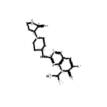 CC(C)n1c(=O)c(Cl)cc2cnc(NC3CCN(C4CCNC4=O)CC3)nc21